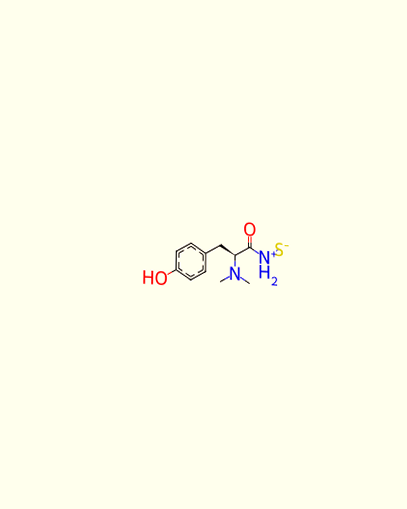 CN(C)[C@@H](Cc1ccc(O)cc1)C(=O)[NH2+][S-]